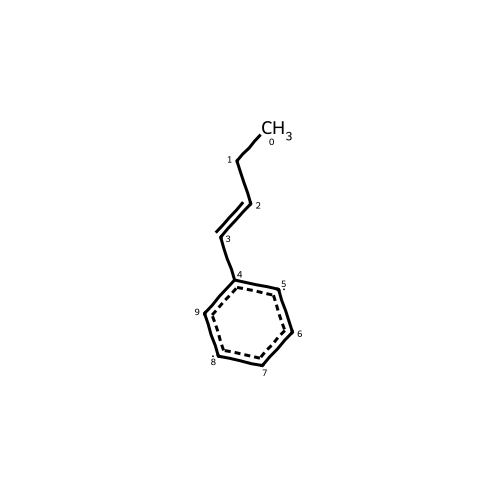 CC/C=C/c1[c]cc[c]c1